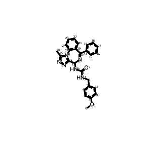 COc1ccc(CNC(=O)NC2N=C(c3ccccc3)c3ccccc3-n3c(C)nnc32)cc1